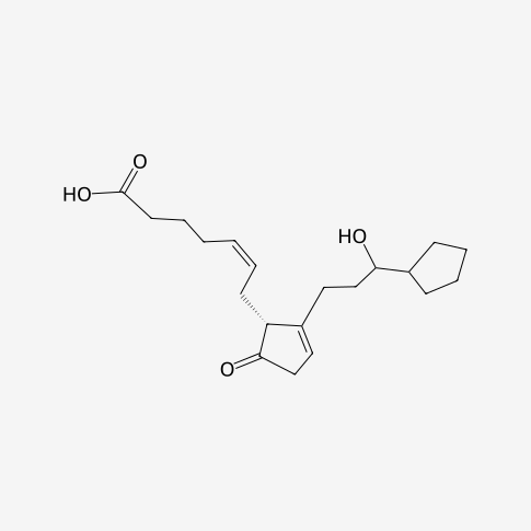 O=C(O)CCC/C=C\C[C@H]1C(=O)CC=C1CCC(O)C1CCCC1